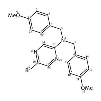 COc1ccc(CN(Cc2ccc(OC)cc2)c2cnc(Br)cn2)cc1